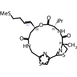 CSCC/C=C/[C@@H]1CC(=O)NCc2nc(cs2)C2=N[C@@](C)(CS2)C(=O)N[C@@H](C(C)C)C(=O)O1